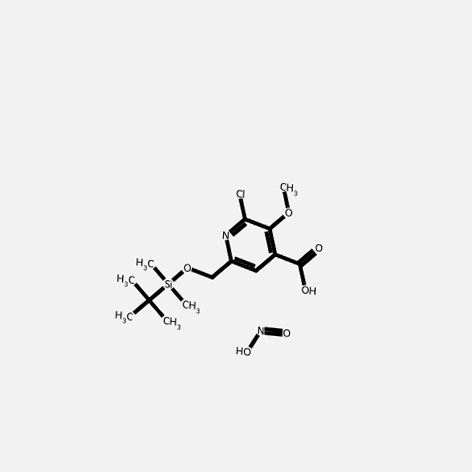 COc1c(C(=O)O)cc(CO[Si](C)(C)C(C)(C)C)nc1Cl.O=NO